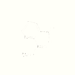 COC(=O)c1ncccc1C(=O)Cl